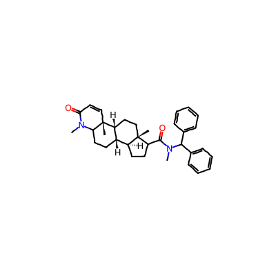 CN(C(=O)C1CC[C@H]2[C@@H]3CCC4N(C)C(=O)C=C[C@]4(C)[C@@H]3CC[C@]12C)C(c1ccccc1)c1ccccc1